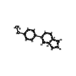 FC(F)(F)Oc1ccc(-c2ccc3nncn3n2)cc1